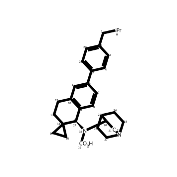 CC(C)Cc1ccc(-c2ccc3c(c2)CCC2(CC2)[C@@H]3N(C(=O)O)C2CN3CCC2CC3)cc1